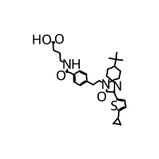 CC(C)(C)C1CCC2(CC1)N=C(c1ccc(C3CC3)s1)C(=O)N2CCc1ccc(C(=O)NCCCC(=O)O)cc1